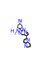 CN(C)C1CCC(N)(c2ncc3c(-c4ccc5ncccc5n4)ccn3n2)CC1